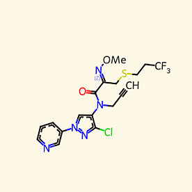 C#CCN(C(=O)/C(CSCCC(F)(F)F)=N/OC)c1cn(-c2cccnc2)nc1Cl